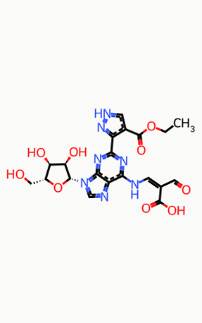 CCOC(=O)c1c[nH]nc1-c1nc(NC=C(C=O)C(=O)O)c2ncn([C@@H]3O[C@H](CO)[C@@H](O)[C@H]3O)c2n1